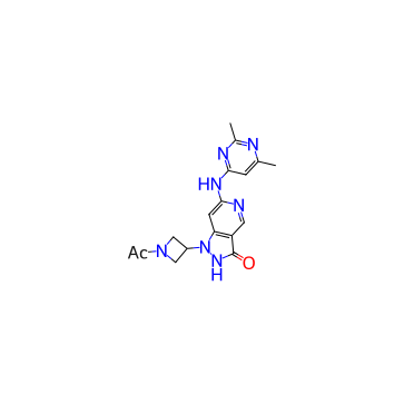 CC(=O)N1CC(n2[nH]c(=O)c3cnc(Nc4cc(C)nc(C)n4)cc32)C1